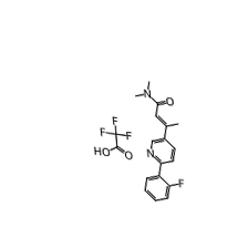 CC(=CC(=O)N(C)C)c1ccc(-c2ccccc2F)nc1.O=C(O)C(F)(F)F